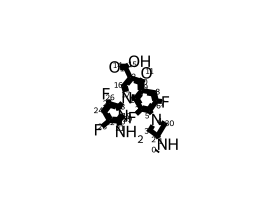 CNC1CN(c2c(F)cc3c(=O)c(C(=O)O)cn(-c4nc(N)c(F)cc4F)c3c2F)C1